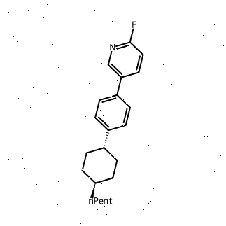 CCCCC[C@H]1CC[C@H](c2ccc(-c3ccc(F)nc3)cc2)CC1